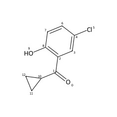 O=C(c1cc(Cl)ccc1O)C1CC1